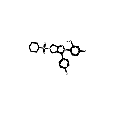 COc1cc(F)ccc1-n1nc2c(c1-c1ccc(Cl)cc1)CN(S(=O)(=O)C1CCCCC1)C2